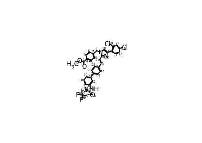 COC(=O)c1ccc(Cn2cc(-c3ccc(Cl)cc3Cl)nc2/C=C/c2ccc(-c3cccc(NS(=O)(=O)CC(F)(F)F)c3)cc2)cc1